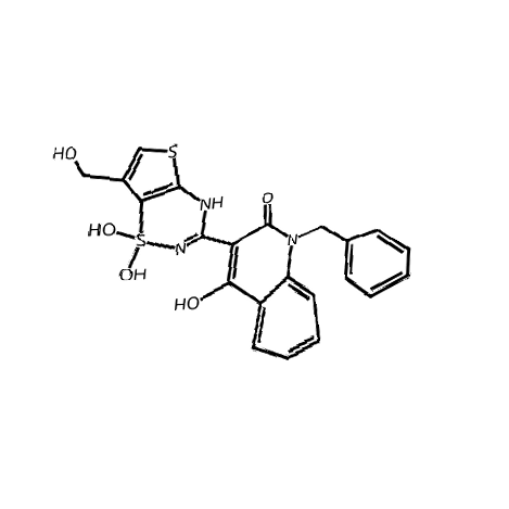 O=c1c(C2=NS(O)(O)c3c(CO)csc3N2)c(O)c2ccccc2n1Cc1ccccc1